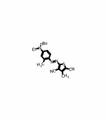 CCCCN(CC)c1ccc(/N=N/c2sc(C#N)c(C)c2C#N)c(C)c1